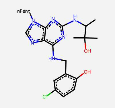 CCCCCn1cnc2c(NCc3cc(Cl)ccc3O)nc(NC(C)C(C)(C)O)nc21